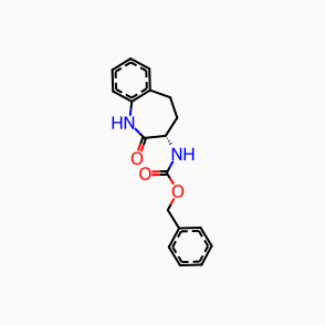 O=C(N[C@H]1CCc2ccccc2NC1=O)OCc1ccccc1